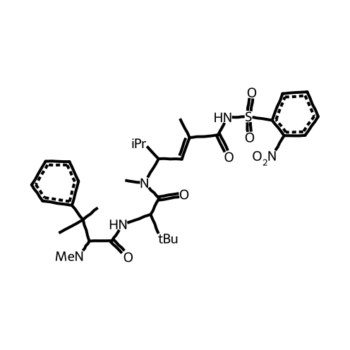 CNC(C(=O)NC(C(=O)N(C)C(/C=C(\C)C(=O)NS(=O)(=O)c1ccccc1[N+](=O)[O-])C(C)C)C(C)(C)C)C(C)(C)c1ccccc1